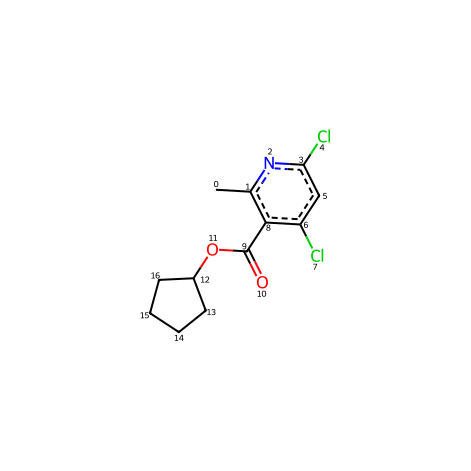 Cc1nc(Cl)cc(Cl)c1C(=O)OC1CCCC1